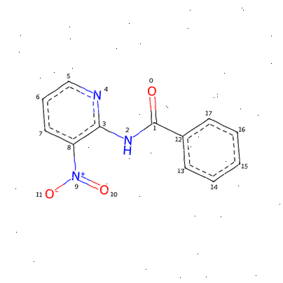 O=C(Nc1ncccc1[N+](=O)[O-])c1ccccc1